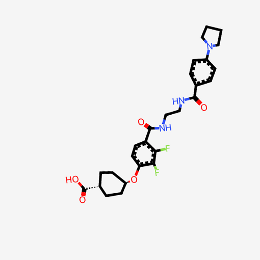 O=C(NCCNC(=O)c1ccc(O[C@H]2CC[C@@H](C(=O)O)CC2)c(F)c1F)c1ccc(N2CCCC2)cc1